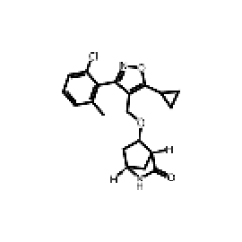 Cc1cccc(Cl)c1-c1noc(C2CC2)c1CO[C@@H]1C[C@@H]2C[C@H]1C(=O)N2